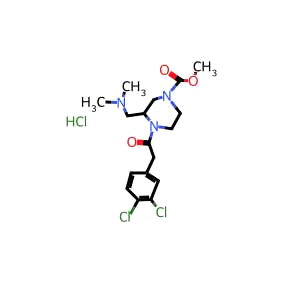 COC(=O)N1CCN(C(=O)Cc2ccc(Cl)c(Cl)c2)C(CN(C)C)C1.Cl